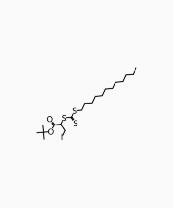 CCCCCCCCCCCCSC(=S)SC(CI)C(=O)OC(C)(C)C